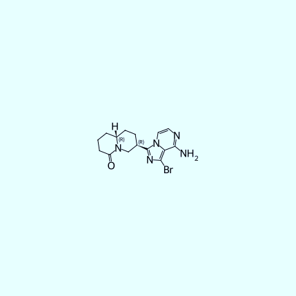 Nc1nccn2c([C@@H]3CC[C@H]4CCCC(=O)N4C3)nc(Br)c12